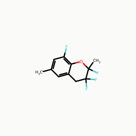 Cc1cc(F)c2c(c1)CC(F)(F)C(C)(F)O2